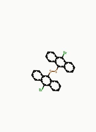 Brc1c2ccccc2c(SSc2c3ccccc3c(Br)c3ccccc23)c2ccccc12